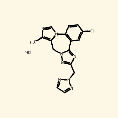 Cc1ncn2c1Cn1nc(Cn3nccn3)nc1-c1cc(Cl)ccc1-2.Cl